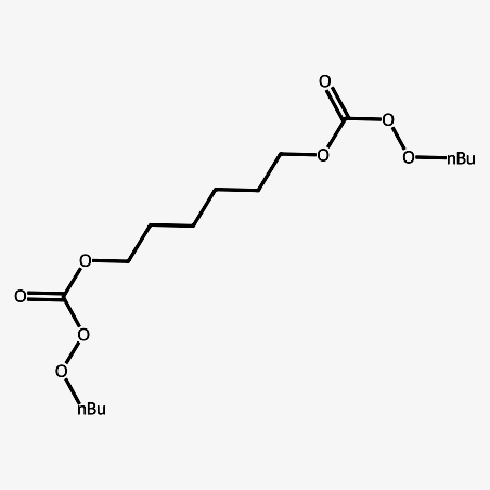 CCCCOOC(=O)OCCCCCCOC(=O)OOCCCC